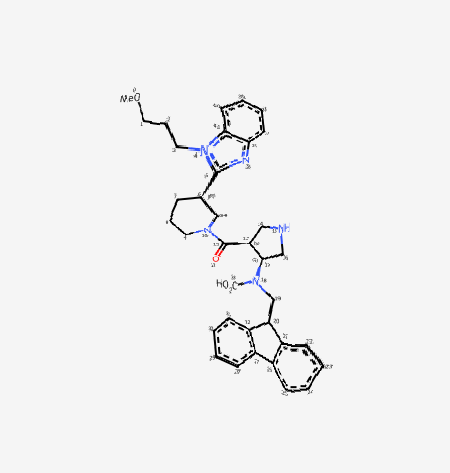 COCCCn1c([C@@H]2CCCN(C(=O)[C@H]3CNC[C@H]3N(CC3c4ccccc4-c4ccccc43)C(=O)O)C2)nc2ccccc21